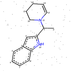 CC(c1cc2ccccc2[nH]1)N1C=CCCC1